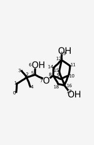 CCC(C)(C)C(O)OC12CC3CC(O)(C1)CC3(O)C2